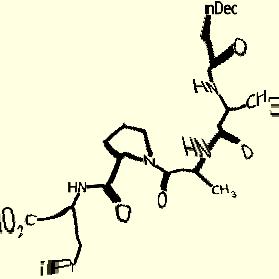 CCCCCCCCCCCC(=O)NC(C)C(=O)NC(C)C(=O)N1CCCC1C(=O)NC(CC(C)C)C(=O)O